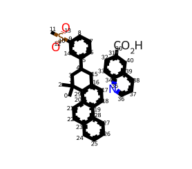 CC1(C)CC(c2cccc(S(C)(=O)=O)c2)Cc2ccc3c(ccc4ccccc43)c21.O=C(O)c1ccc2ncccc2c1